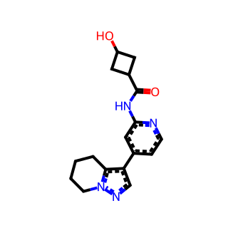 O=C(Nc1cc(-c2cnn3c2CCCC3)ccn1)C1CC(O)C1